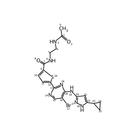 CC(=O)NCCNC(=O)c1ccc(-c2ncc(Br)c(Nc3cc(C4CC4)[nH]n3)n2)s1